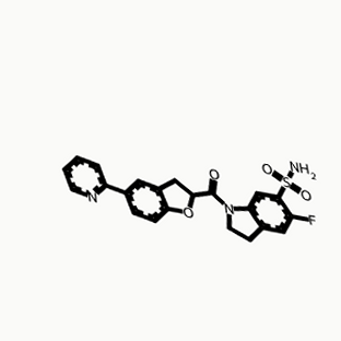 NS(=O)(=O)c1cc2c(cc1F)CCN2C(=O)C1Cc2cc(-c3ccccn3)ccc2O1